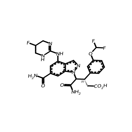 NC(=O)c1cc(NC2=NCC(F)CN2)c2cnn(C(C(N)=O)[C@@H](CC(=O)O)c3cccc(OC(F)F)c3)c2c1